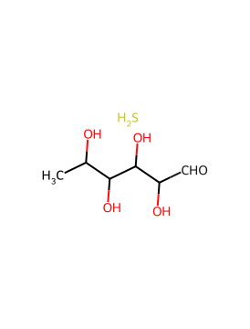 CC(O)C(O)C(O)C(O)C=O.S